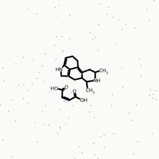 CC1CC2=C3CCC=C4NCC(=C43)CC2C(C)N1.O=C(O)/C=C\C(=O)O